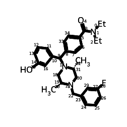 CCN(CC)C(=O)c1ccc(C(c2cccc(O)c2)N2C[C@H](C)N(Cc3cccc(F)c3)C[C@H]2C)cc1